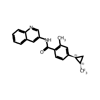 Cc1cc([C@H]2C[C@@H]2C(F)(F)F)ccc1C(=O)Nc1cnc2ccccc2c1